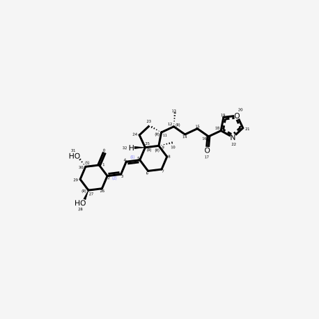 C=C1/C(=C\C=C2/CCC[C@]3(C)[C@@H]([C@H](C)CCC(=O)c4cocn4)CC[C@@H]23)C[C@@H](O)C[C@@H]1O